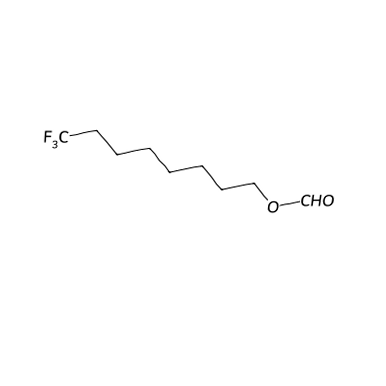 O=COCCCCCCCC(F)(F)F